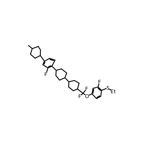 CCSc1ccc(OC(F)(F)C2CCC(C3CCC(c4ccc(C5CCC(C)CC5)cc4F)CC3)CC2)cc1F